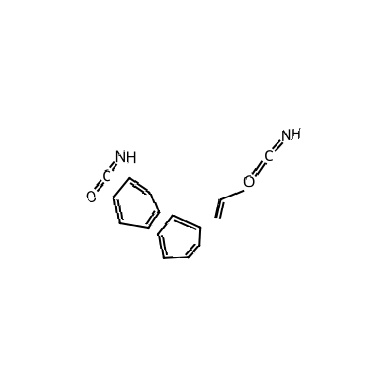 C=CC.N=C=O.N=C=O.c1ccccc1.c1ccccc1